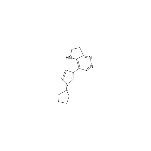 c1nn([C]2CCCC2)cc1-c1cnnc2c1NCC2